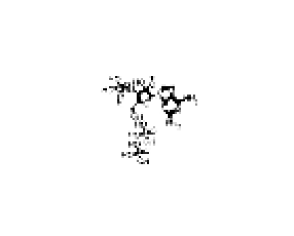 CO[C@@]1(O)[C@H](O)[C@@H](CO)O[C@H]1n1cnc2c(N)nc(N)nc21.O=P(O)(O)O.O=P(O)(O)O.O=P(O)(O)O